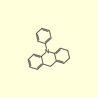 C1=C2Cc3ccccc3N(c3ccccc3)C2=CCC1